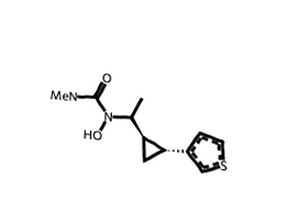 CNC(=O)N(O)C(C)[C@@H]1C[C@H]1c1ccsc1